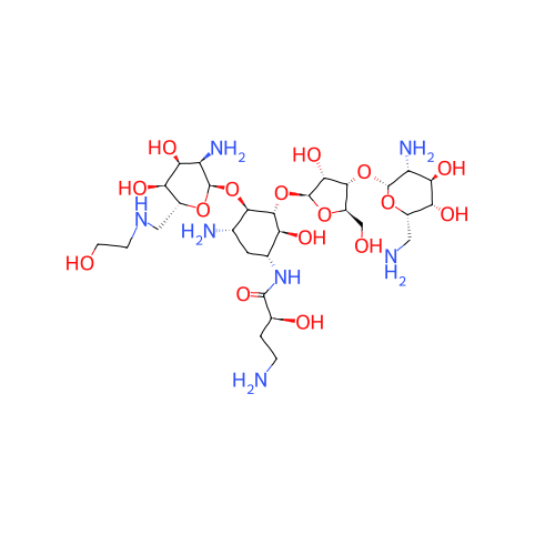 NCC[C@H](O)C(=O)N[C@@H]1C[C@H](N)[C@@H](O[C@H]2O[C@H](CNCCO)[C@@H](O)[C@@H](O)[C@H]2N)[C@H](O[C@@H]2O[C@H](CO)[C@@H](O[C@H]3O[C@@H](CN)[C@@H](O)[C@H](O)[C@H]3N)[C@H]2O)[C@H]1O